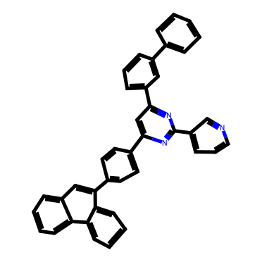 c1ccc(-c2cccc(-c3cc(-c4ccc(-c5cc6ccccc6c6ccccc56)cc4)nc(-c4cccnc4)n3)c2)cc1